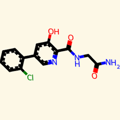 NC(=O)CNC(=O)c1ncc(-c2ccccc2Cl)cc1O